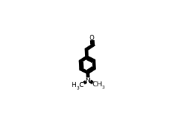 CN(C)c1ccc(C[C]=O)cc1